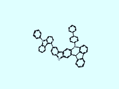 CC12c3ccccc3-c3cccc(c31)N(c1ccc(-c3ccccc3)cc1)c1cc3c(cc12)oc1ccc(-c2cccc4c2c2ccccc2n4-c2ccccc2)cc13